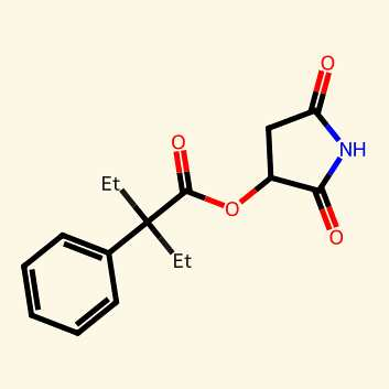 CCC(CC)(C(=O)OC1CC(=O)NC1=O)c1ccccc1